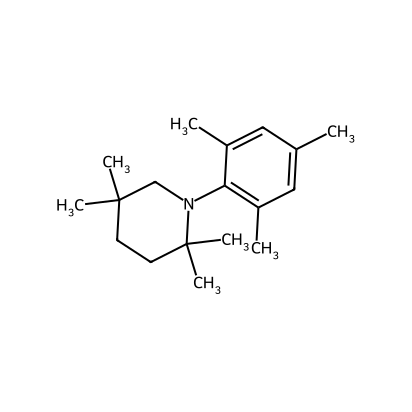 Cc1cc(C)c(N2CC(C)(C)CCC2(C)C)c(C)c1